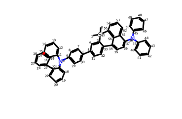 C[Si]1(C)c2cc(-c3ccc(N(c4ccccc4)c4ccccc4-c4ccccc4)cc3)ccc2-c2ccc(N(c3ccccc3)c3ccccc3)c3cccc1c23